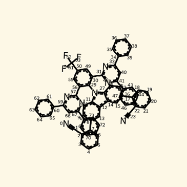 N#Cc1ccccc1-c1ccc2c(c1)c1cc(-c3ccccc3C#N)ccc1n2-c1c(-c2nc(-c3ccccc3)cc(-c3ccccc3)n2)cc(C(F)(F)F)cc1-c1nc(-c2ccccc2)cc(-c2ccccc2)n1